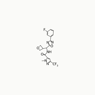 Cn1nc(C(F)(F)F)cc1C(=O)NC(c1nc(-c2cccc(F)c2)no1)C1COC1